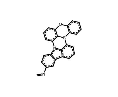 C=Nc1ccc2c(c1)c1cccc3c1n2-c1cccc2c1B3c1ccccc1O2